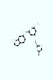 Cc1cnc(COc2cc(C#N)nc(Nc3ccc4cc[nH]c4c3)c2)s1